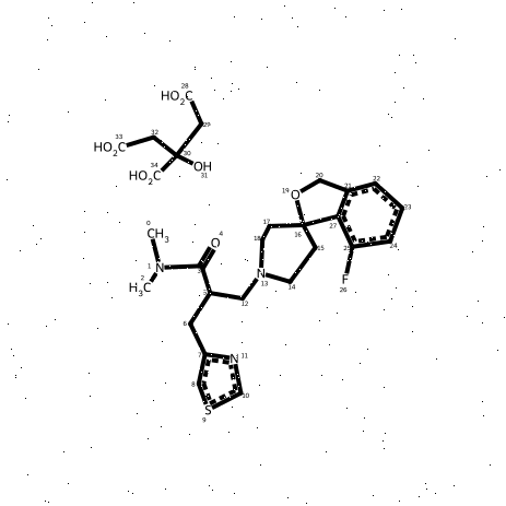 CN(C)C(=O)C(Cc1cscn1)CN1CCC2(CC1)OCc1cccc(F)c12.O=C(O)CC(O)(CC(=O)O)C(=O)O